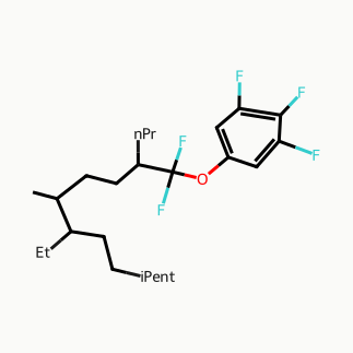 CCCC(C)CCC(CC)C(C)CCC(CCC)C(F)(F)Oc1cc(F)c(F)c(F)c1